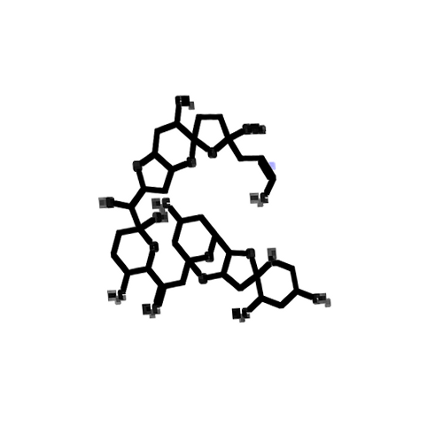 C=C(CC12CC(C)CC(O1)C1OC3(CC1O2)NCC(C)CC3C)C1OC(O)(C(O)C2CC3OC4(CCC(C/C=C\C)(OC)O4)C(C)CC3O2)CCC1C